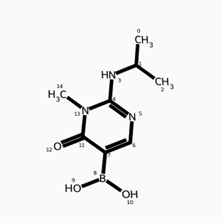 CC(C)Nc1ncc(B(O)O)c(=O)n1C